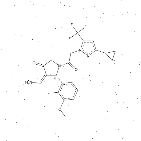 COc1cccc([C@@H]2/C(=C/N)C(=O)CN2C(=O)Cn2nc(C3CC3)cc2C(F)(F)F)c1C